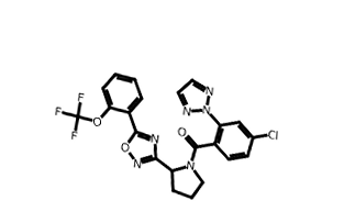 O=C(c1ccc(Cl)cc1-n1nccn1)N1CCCC1c1noc(-c2ccccc2OC(F)(F)F)n1